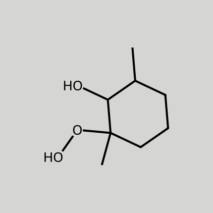 CC1CCCC(C)(OO)C1O